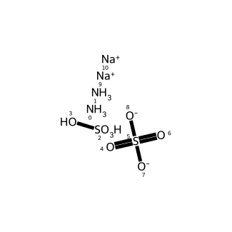 N.N.O=S(=O)(O)O.O=S(=O)([O-])[O-].[Na+].[Na+]